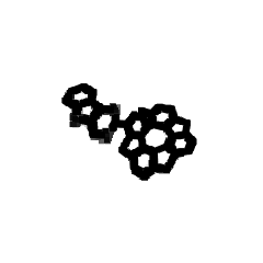 c1ccc2c(c1)sc1cnc(-c3cc4c5c6c3Cc3ccc7c(c3-6)-c3c(ccc6c3-c3c(ccc(c3-5)C4)C6)C7)nc12